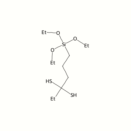 CCO[Si](CCCC(S)(S)CC)(OCC)OCC